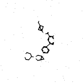 Nc1ncc(-c2ccc([C@@]34C[C@@H]3CN(C3CCOCC3)C4)cc2)cc1C(=O)NC12CC(CO)(C1)C2